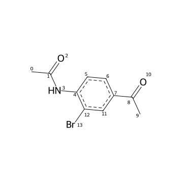 CC(=O)Nc1ccc(C(C)=O)cc1Br